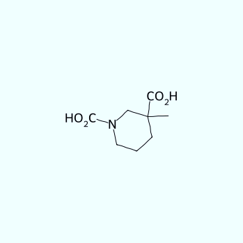 CC1(C(=O)O)CCCN(C(=O)O)C1